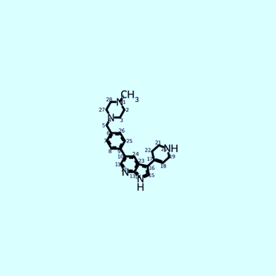 CN1CCN(Cc2ccc(-c3cnc4[nH]cc(C5=CCNCC5)c4c3)cc2)CC1